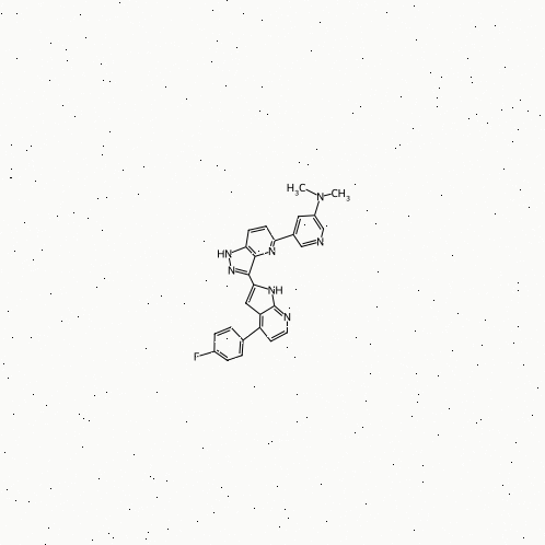 CN(C)c1cncc(-c2ccc3[nH]nc(-c4cc5c(-c6ccc(F)cc6)ccnc5[nH]4)c3n2)c1